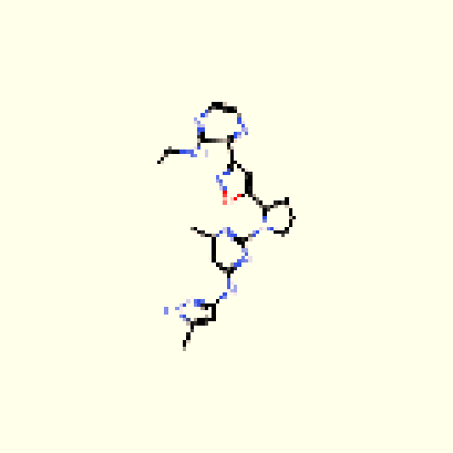 CCNc1nccnc1-c1cc(C2CCCN2c2nc(C)cc(Nc3cc(C)[nH]n3)n2)on1